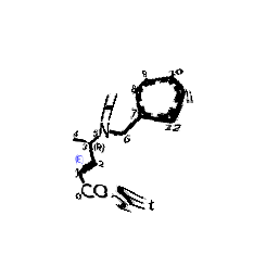 CCOC(=O)/C=C/[C@@H](C)NCc1ccccc1